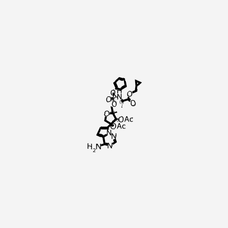 CC(=O)O[C@H]1C(OC(C)=O)(c2ccc3c(N)ncnn23)CO[C@]1(C)CO[P@@](=O)(N[C@@H](C)C(=O)OCC1CC1)Oc1ccccc1